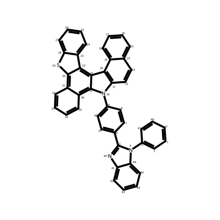 c1ccc(-n2c(-c3ccc(-n4c5ccc6ccccc6c5c5c6c7ccccc7sc6c6ccccc6c54)cc3)nc3ccccc32)cc1